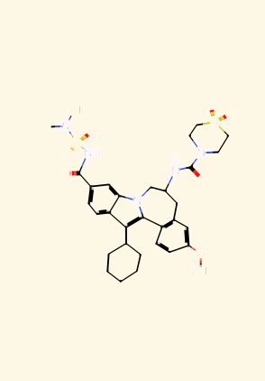 COc1ccc2c(c1)CC(NC(=O)N1CCS(=O)(=O)CC1)Cn1c-2c(C2CCCCC2)c2ccc(C(=O)NS(=O)(=O)N(C)C)cc21